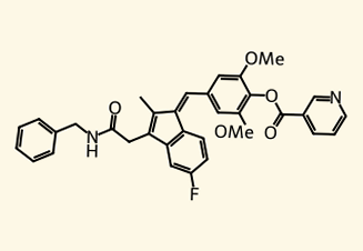 COc1cc(/C=C2/C(C)=C(CC(=O)NCc3ccccc3)c3cc(F)ccc32)cc(OC)c1OC(=O)c1cccnc1